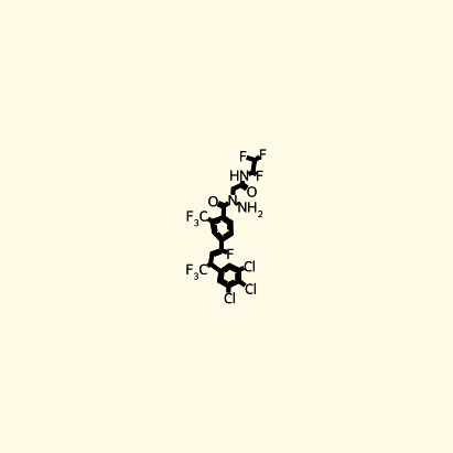 NN(CC(=O)NC(F)C(F)F)C(=O)c1ccc(C(F)=CC(c2cc(Cl)c(Cl)c(Cl)c2)C(F)(F)F)cc1C(F)(F)F